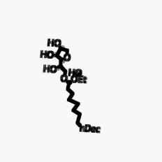 CCCCCCCCCCCCCCCCCC(=O)OC[C@@H](O)[C@H]1OC[C@H](O)[C@H]1O.CCO